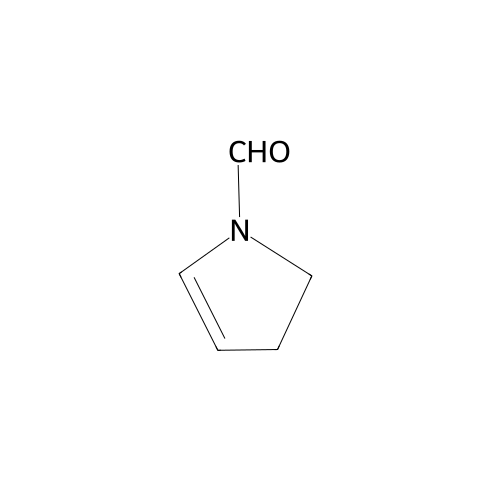 O=CN1C=CCC1